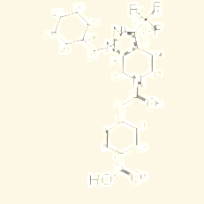 O=C(C[C@H]1CC[C@@H](C(=O)O)CC1)N1CCc2c(C(F)(F)F)nn(CC3CCCCC3)c2C1